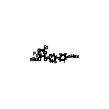 CCCCCCc1ccc(-c2cnc(OC(OC(=O)CC)C(OCCCC)C(F)(F)F)nc2)cc1